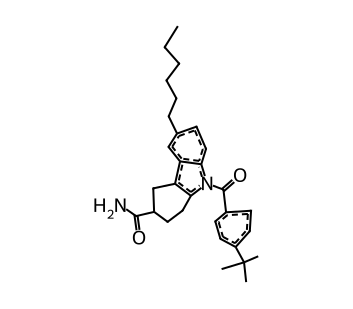 CCCCCCc1ccc2c(c1)c1c(n2C(=O)c2ccc(C(C)(C)C)cc2)CCC(C(N)=O)C1